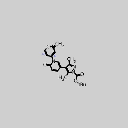 C=C/C=C(\C=C/C)n1cc(-c2c(C)nn(C(=O)OC(C)(C)C)c2C)ccc1=O